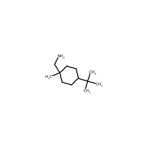 CC1(CN)CCC(C(C)(C)C)CC1